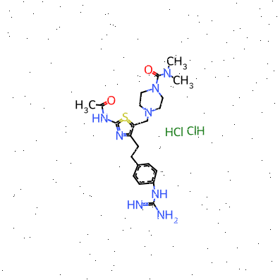 CC(=O)Nc1nc(CCc2ccc(NC(=N)N)cc2)c(CN2CCN(C(=O)N(C)C)CC2)s1.Cl.Cl